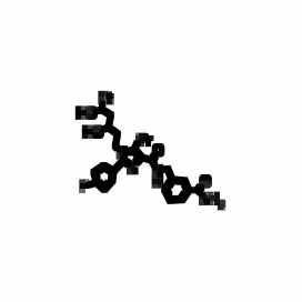 [CH2]CC(O)CC(O)CCn1c(-c2ccc(F)cc2)nc(C(=O)NCc2cccc(C(N)=O)c2)c1C(C)C